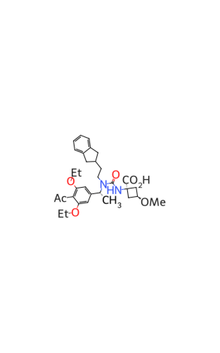 CCOc1cc([C@@H](C)N(CCC2Cc3ccccc3C2)C(=O)N[C@]2(C(=O)O)C[C@H](OC)C2)cc(OCC)c1C(C)=O